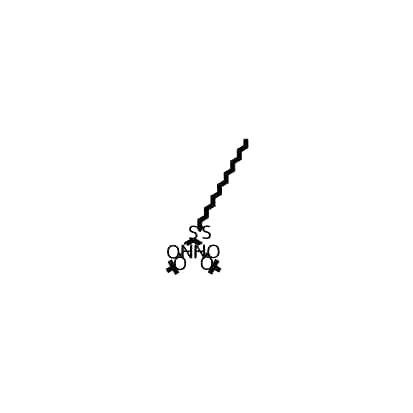 CCCCCCCCCCCCCCCC(=S)SC(CNC(=O)OC(C)(C)C)CNC(=O)OC(C)(C)C